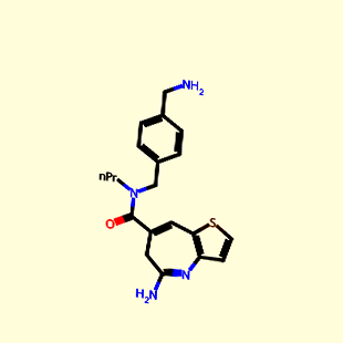 CCCN(Cc1ccc(CN)cc1)C(=O)C1=Cc2sccc2N=C(N)C1